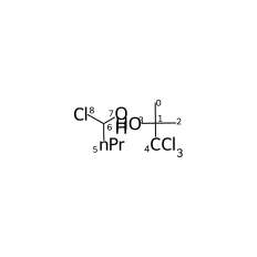 CC(C)(O)C(Cl)(Cl)Cl.CCCC(O)Cl